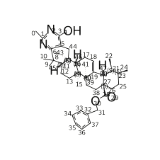 Cc1nc(O)c2c(n1)C(C)(C)[C@H]1CC[C@@]3(C)[C@@H](CC=C4[C@@H]5[C@@H](C)[C@@H](C)CC[C@]5(C(=O)OCc5ccccc5)CC[C@]43C)[C@]1(C)C2